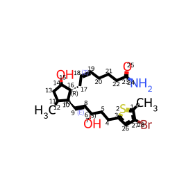 Cc1sc(CC[C@H](O)/C=C/[C@H]2C(C)CC(O)[C@@H]2C/C=C\CCCC(N)=O)cc1Br